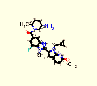 COc1ccc2cc(-c3nc4cc(C(=O)N5C[C@H](N)CC[C@@H]5C)cc(F)c4n3C)n(CC3CC3)c2n1